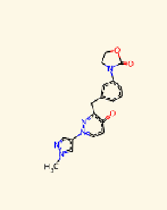 Cn1cc(-n2ccc(=O)c(Cc3cccc(N4CCOC4=O)c3)n2)cn1